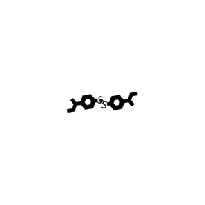 CCC(C)c1ccc(SSc2ccc(C(C)CC)cc2)cc1